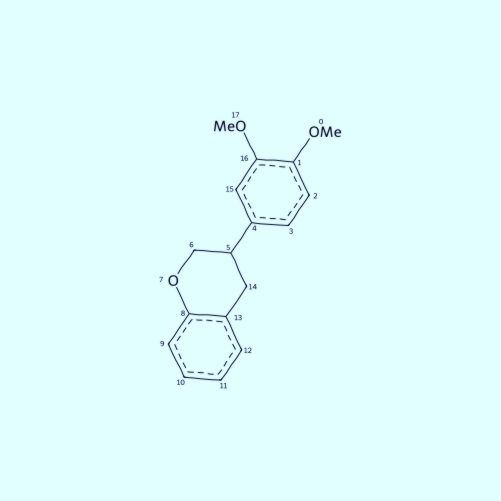 COc1ccc(C2COc3ccccc3C2)cc1OC